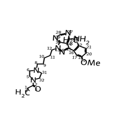 C=CC(=O)N1CCN(CCCCCn2nc(-c3cc(OC)ccc3C)c3c(N)ncnc32)CC1